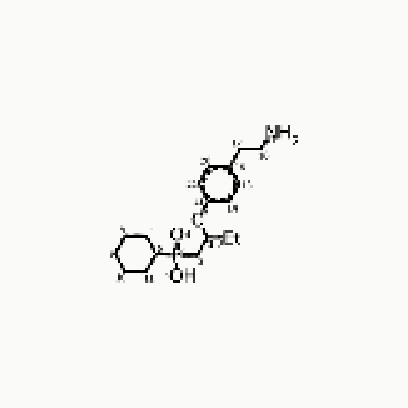 CCC(CP(=O)(O)C1CCCCC1)Oc1ccc(CCN)cc1